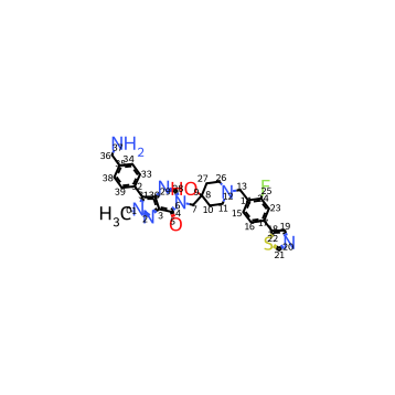 Cn1nc2c(=O)n(CC3(O)CCN(Cc4ccc(-c5cncs5)cc4F)CC3)cnc2c1-c1ccc(CN)cc1